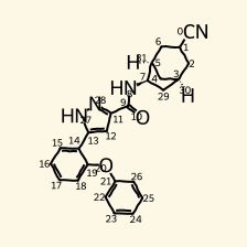 N#CC1C[C@@H]2C[C@H](C1)[C@H](NC(=O)c1cc(-c3ccccc3Oc3ccccc3)[nH]n1)C2